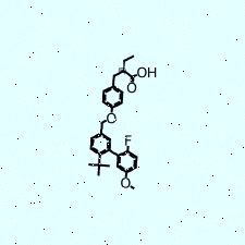 CC[C@H](Cc1ccc(OCc2ccc(C(C)(C)C)c(-c3cc(OC)ccc3F)c2)cc1)C(=O)O